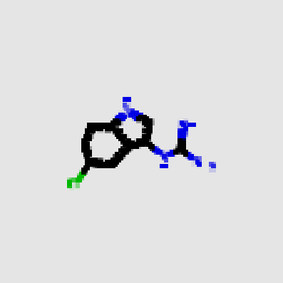 N=C(N)Nc1c[nH]c2ccc(Cl)cc12